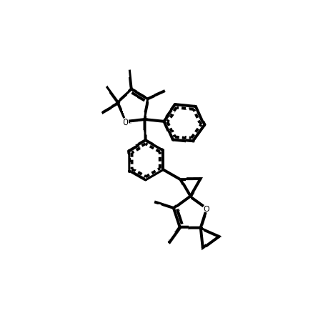 CC1=C(C)C(c2ccccc2)(c2cccc(C3CC34OC3(CC3)C(C)=C4C)c2)OC1(C)C